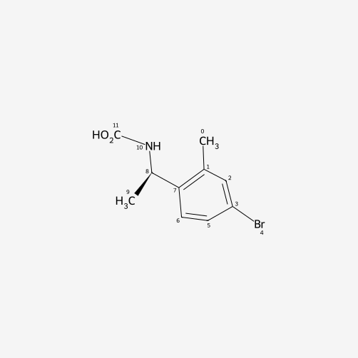 Cc1cc(Br)ccc1[C@@H](C)NC(=O)O